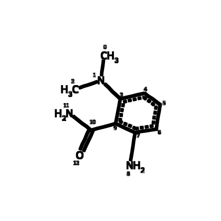 CN(C)c1cccc(N)c1C(N)=O